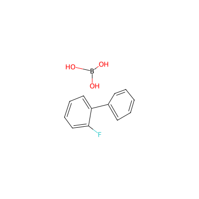 Fc1ccccc1-c1ccccc1.OB(O)O